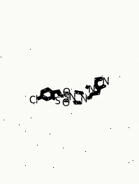 Cn1c(CN2CCN(S(=O)(=O)c3cc4ccc(Cl)cc4s3)CC2)cc2cnccc21